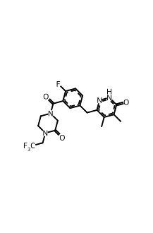 Cc1c(Cc2ccc(F)c(C(=O)N3CCN(CC(F)(F)F)C(=O)C3)c2)n[nH]c(=O)c1C